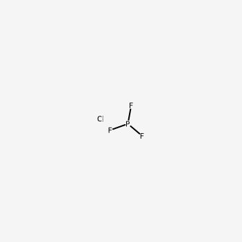 FP(F)F.[C]